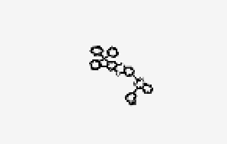 c1ccc(-c2nc(-c3ccc4c(c3)Oc3cc5c(cc3O4)C(c3ccccc3)(c3ccccc3)c3ccccc3-5)nc3ccccc23)cc1